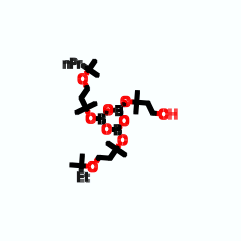 CCCC(C)(C)OCCC(C)(C)OB1OB(OC(C)(C)CCO)OB(OC(C)(C)CCOC(C)(C)CC)O1